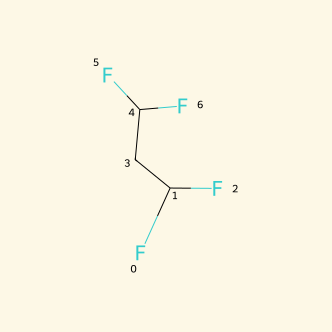 FC(F)CC(F)F